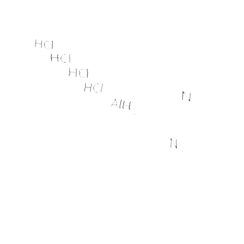 CCCCN1C=CN(C)C1.Cl.Cl.Cl.Cl.[AlH3]